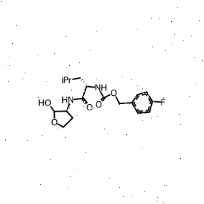 CC(C)C[C@H](NC(=O)OCc1ccc(F)cc1)C(=O)N[C@H]1CCOC1O